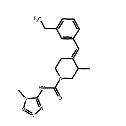 CC1CN(C(=O)Nc2nnnn2C)CC/C1=C\c1cccc(CC(F)(F)F)c1